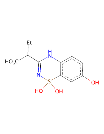 CCC(C(=O)O)C1=NS(O)(O)c2cc(O)ccc2N1